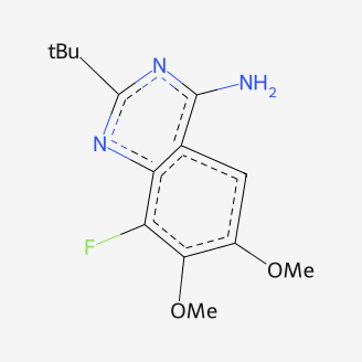 COc1cc2c(N)nc(C(C)(C)C)nc2c(F)c1OC